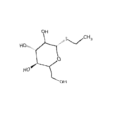 CCS[C@@H]1OC(CO)[C@@H](O)[C@H](O)C1O